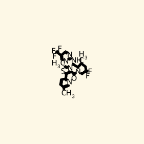 Cc1ccc(-c2sc(C)nc2C(=O)N2CC(F)(F)C[C@@H](C)C2CNc2ncc(C(F)(F)F)cn2)nc1